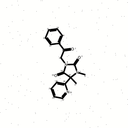 CN1C(=O)N(CC(=O)c2ccccc2)C(=O)C1(C)c1ccccn1